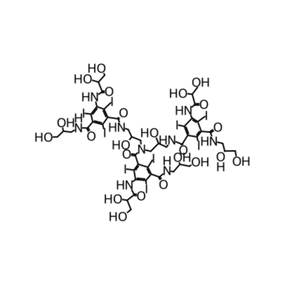 O=C(NCC(O)CO)c1c(I)c(NC(=O)C(O)CO)c(I)c(C(=O)NCC(O)CN(CC(O)CNC(=O)c2c(I)c(NC(=O)C(O)CO)c(I)c(C(=O)NCC(O)CO)c2I)C(=O)c2c(I)c(NC(=O)C(O)CO)c(I)c(C(=O)NCC(O)CO)c2I)c1I